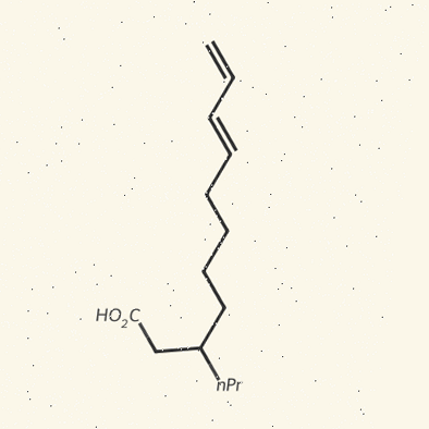 C=CC=CCCCCC(CCC)CC(=O)O